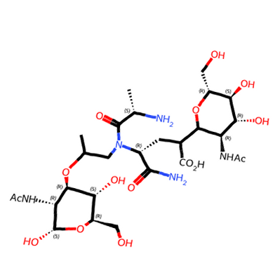 CC(=O)N[C@@H]1[C@@H](OC(C)CN(C(=O)[C@H](C)N)[C@H](CC(C(=O)O)C2O[C@H](CO)[C@@H](O)[C@H](O)[C@H]2NC(C)=O)C(N)=O)[C@H](O)[C@@H](CO)O[C@@H]1O